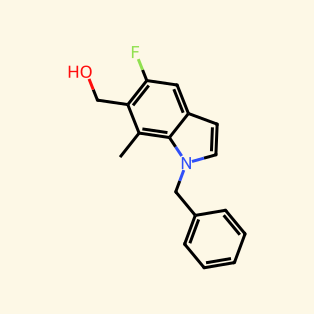 Cc1c(CO)c(F)cc2ccn(Cc3ccccc3)c12